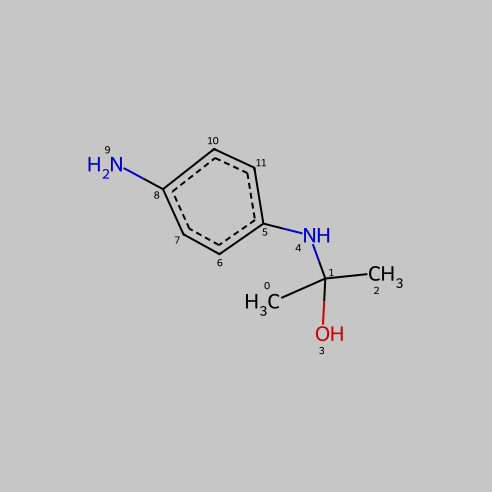 CC(C)(O)Nc1ccc(N)cc1